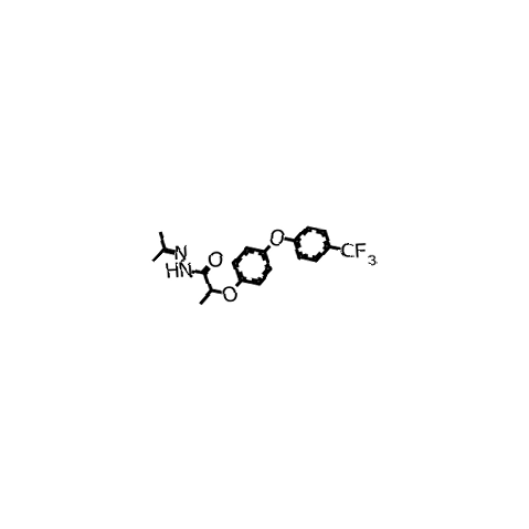 CC(C)=NNC(=O)C(C)Oc1ccc(Oc2ccc(C(F)(F)F)cc2)cc1